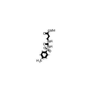 COC(=O)CCNC(=O)NS(=O)(=O)c1ccc(C)cc1